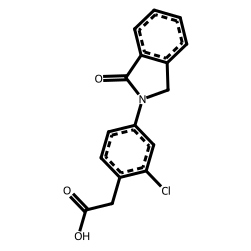 O=C(O)Cc1ccc(N2Cc3ccccc3C2=O)cc1Cl